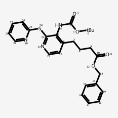 CC(C)(C)OC(=O)Nc1c(CCCC(=O)OCc2ccccc2)ccnc1Sc1ccccn1